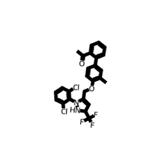 CC(=O)c1ccccc1-c1ccc(OCC2=CC(C(F)(F)F)NN2c2c(Cl)cccc2Cl)c(C)c1